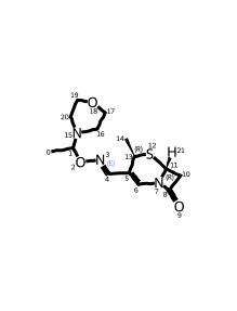 CC(O/N=C/C1=CN2C(=O)C[C@H]2S[C@@H]1C)N1CCOCC1